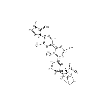 CC(=O)NC1(C)C2CCC1CN(c1cc(-c3cc(F)cc(-c4ccc(-n5ccn(C)c5=O)c(Cl)c4)c3O)ccn1)C2